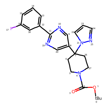 CC(C)(C)OC(=O)N1CCC(c2cnc(-c3cccc(I)c3)nc2)(n2cccn2)CC1